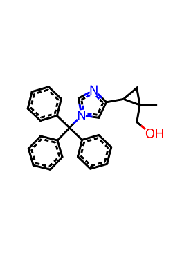 CC1(CO)CC1c1cn(C(c2ccccc2)(c2ccccc2)c2ccccc2)cn1